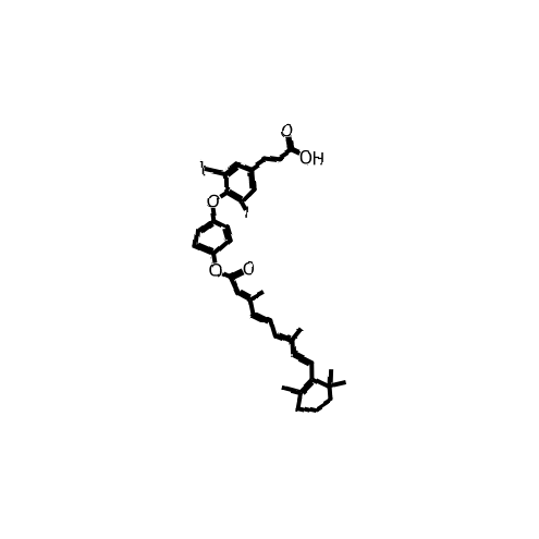 CC1=C(/C=C/C(C)=C/C=C/C(C)=C/C(=O)Oc2ccc(Oc3c(I)cc(CCC(=O)O)cc3I)cc2)C(C)(C)CCC1